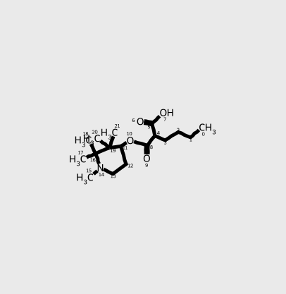 CCCCC(C(=O)O)C(=O)OC1CCN(C)C(C)(C)C1(C)C